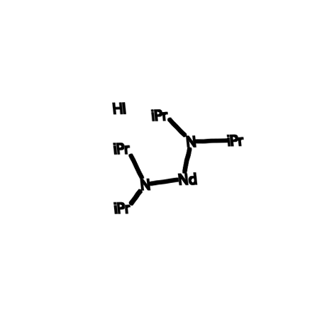 CC(C)[N]([Nd][N](C(C)C)C(C)C)C(C)C.I